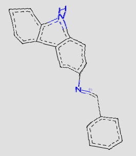 C(=N\c1ccc2[nH]c3ccccc3c2c1)/c1ccccc1